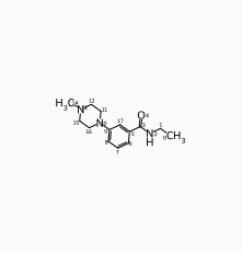 CCNC(=O)c1cccc(N2CCN(C)CC2)c1